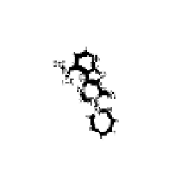 CCN(CC)c1ccnc2sc3c(=O)n(N4CCCCCC4)cnc3c12